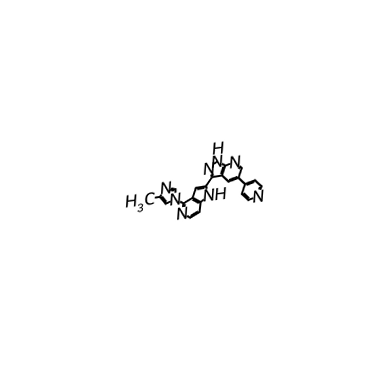 Cc1cn(-c2nccc3[nH]c(-c4n[nH]c5ncc(-c6ccncc6)cc45)cc23)cn1